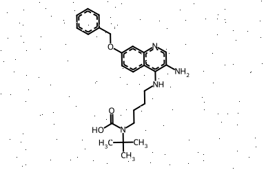 CC(C)(C)N(CCCCNc1c(N)cnc2cc(OCc3ccccc3)ccc12)C(=O)O